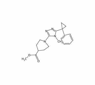 COC(=O)C1CCN(c2nnc(C3(c4ccccc4)CC3)n2C)CC1